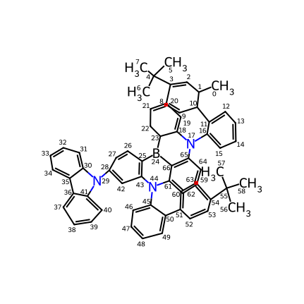 CC1C=C(C(C)(C)C)C=CC1c1ccccc1N1C2=CC=CCC2B2c3ccc(-n4c5ccccc5c5ccccc54)cc3N(c3ccccc3-c3ccc(C(C)(C)C)cc3)c3cccc1c32